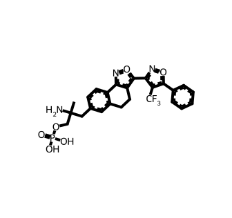 CC(N)(COP(=O)(O)O)Cc1ccc2c(c1)CCc1c-2noc1-c1noc(-c2ccccc2)c1C(F)(F)F